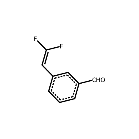 O=Cc1cccc(C=C(F)F)c1